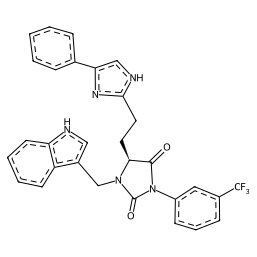 O=C1[C@H](CCc2nc(-c3ccccc3)c[nH]2)N(Cc2c[nH]c3ccccc23)C(=O)N1c1cccc(C(F)(F)F)c1